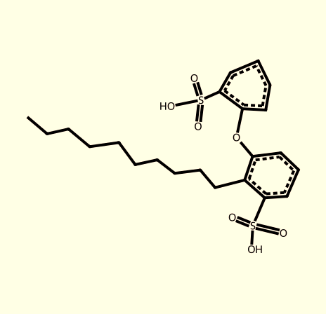 CCCCCCCCCCc1c(Oc2ccccc2S(=O)(=O)O)cccc1S(=O)(=O)O